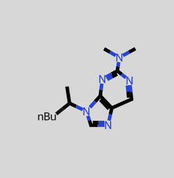 CCCCC(C)n1cnc2cnc(N(C)C)nc21